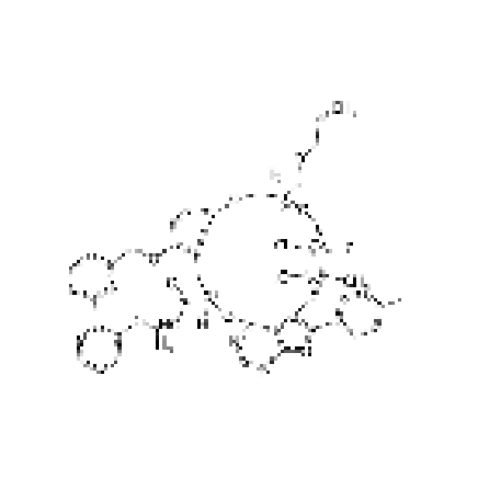 C=CCOC[C@@H]1COc2ccc(OCc3ccnc(-c4ccccc4OC)n3)c(c2)C[C@H](C(=O)O)Oc2ncnc3oc(-c4ccc(F)cc4)c(c23)-c2c(C)c(Cl)c(c(Cl)c2C)O1